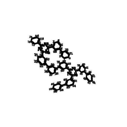 c1ccc(-c2cccc(-c3nc(-c4ccccc4)nc(-c4cccc(-c5cccc(-c6cccc(-c7nc(-c8cccc(-c9ccccc9)c8)nc(-c8cccc(-c9ccccc9)c8)n7)c6)c5)c4)n3)c2)cc1